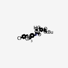 CC(C)(C)OC(=O)N1CC(O)C(N2C(=O)S/C(=C\c3ccc4c(cnn4Cc4ccc(Cl)cc4C(F)(F)F)c3)C2=O)C1